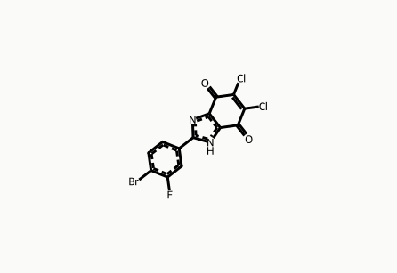 O=C1C(Cl)=C(Cl)C(=O)c2[nH]c(-c3ccc(Br)c(F)c3)nc21